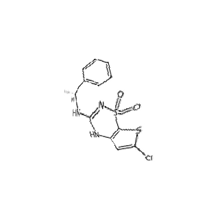 C[C@@H](NC1=NS(=O)(=O)c2sc(Cl)cc2N1)c1ccccc1